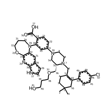 CC1(C)CCC(CN2CCN(c3ccc(C(=O)O)c(N4CCCOc5nc6[nH]ccc6cc54)c3)C[C@H]2COCCCO)=C(c2ccc(Cl)cc2)C1